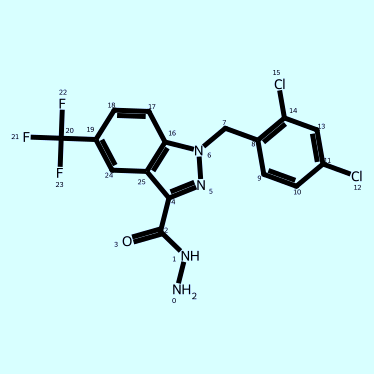 NNC(=O)c1nn(Cc2ccc(Cl)cc2Cl)c2ccc(C(F)(F)F)cc12